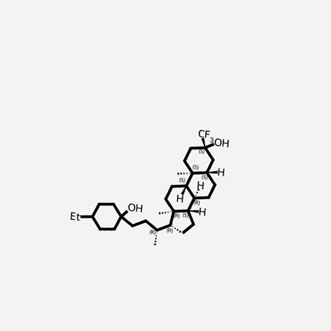 CCC1CCC(O)(CC[C@@H](C)[C@H]2CC[C@H]3[C@@H]4CC[C@H]5C[C@](O)(C(F)(F)F)CC[C@]5(C)[C@H]4CC[C@]23C)CC1